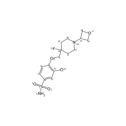 NS(=O)(=O)c1ccc(OCC2(F)CCN(C3COC3)CC2)c(Cl)c1